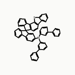 c1ccc(-c2cccc(N(c3cccc(-c4ccccc4)c3)c3ccc4c(c3)C3(c5ccccc5-4)c4ccccc4-c4c3ccc3c4sc4ccccc43)c2)cc1